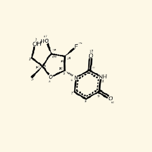 C[C@]1(CO)O[C@@H](n2ccc(=O)[nH]c2=O)[C@H](F)[C@@H]1O